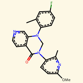 COc1ccc(N2CN(c3ccc(F)cc3C)c3cnccc3C2=O)c(C)n1